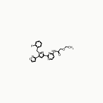 CCOCC(=O)Nc1ccnc(-c2cc(-c3ccon3)n(Cc3ccccc3F)n2)n1